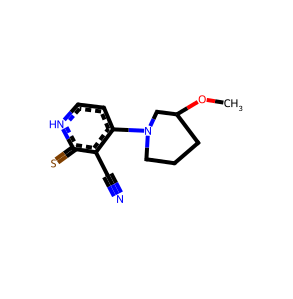 COC1CCCN(c2cc[nH]c(=S)c2C#N)C1